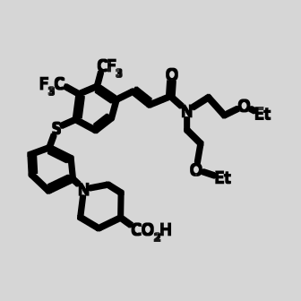 CCOCCN(CCOCC)C(=O)/C=C/c1ccc(Sc2cccc(N3CCC(C(=O)O)CC3)c2)c(C(F)(F)F)c1C(F)(F)F